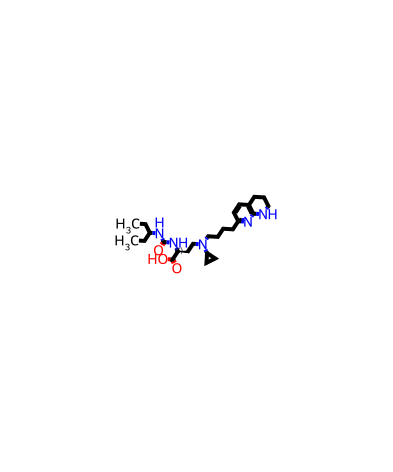 CCC(CC)NC(=O)N[C@@H](CCN(CCCCc1ccc2c(n1)NCCC2)C1CC1)C(=O)O